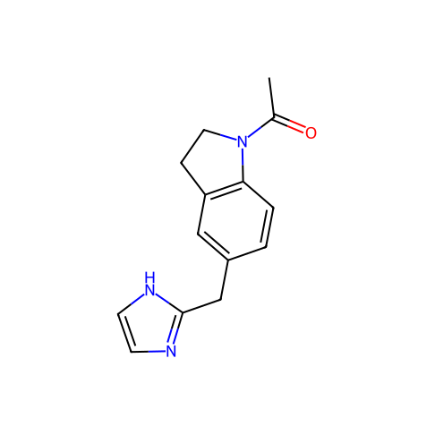 CC(=O)N1CCc2cc(Cc3ncc[nH]3)ccc21